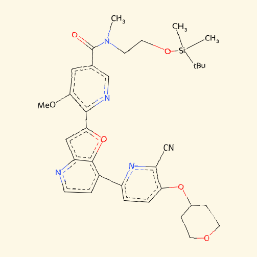 COc1cc(C(=O)N(C)CCO[Si](C)(C)C(C)(C)C)cnc1-c1cc2nccc(-c3ccc(OC4CCOCC4)c(C#N)n3)c2o1